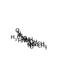 C[C@H]1CN(C2COC2)CCN1c1ccc(Nc2cc(-c3ccnc(N4CCn5c(cc6c5CC(C)(C)C6)C4=O)c3CO)n[nH]c2=O)nc1